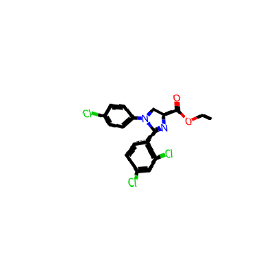 CCOC(=O)C1CN(c2ccc(Cl)cc2)C(c2ccc(Cl)cc2Cl)=N1